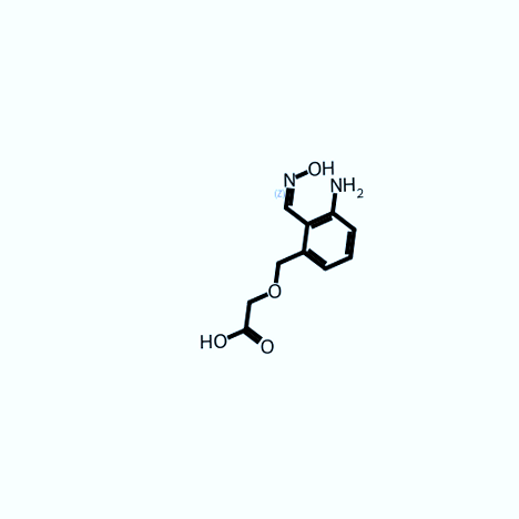 Nc1cccc(COCC(=O)O)c1/C=N\O